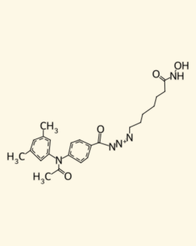 CC(=O)N(c1ccc(C(=O)N=[N+]=NCCCCCCC(=O)NO)cc1)c1cc(C)cc(C)c1